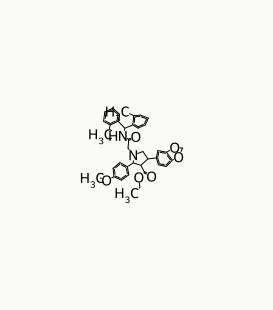 CCOC(=O)C1C(c2ccc3c(c2)OCO3)CN(CC(=O)NC(c2ccccc2C)c2ccccc2C)C1c1ccc(OC)cc1